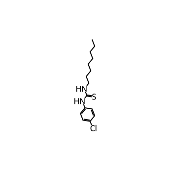 CCCCCCCCNC(=S)Nc1ccc(Cl)cc1